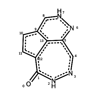 O=c1[nH]ncc2n[nH]cc3ccc1c32